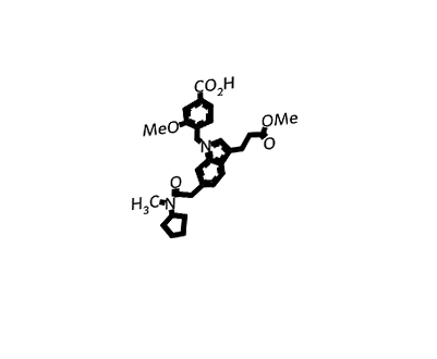 COC(=O)CCc1cn(Cc2ccc(C(=O)O)cc2OC)c2cc(CC(=O)N(C)C3CCCC3)ccc12